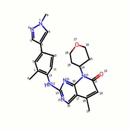 Cc1cc(-c2cnn(C)c2)ccc1Nc1ncc2c(C)cc(=O)n(C3CCOCC3)c2n1